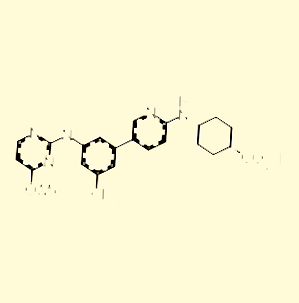 COc1ccnc(Nc2cc(C)cc(-c3ccc(N[C@H]4CC[C@H](C(=O)O)CC4)nc3)c2)n1